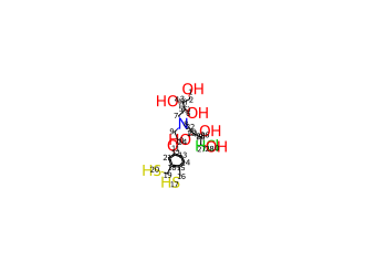 Cl.OC[C@@H](O)[C@@H](O)CN(CCOc1ccc(CS)c(CS)c1)C[C@H](O)[C@H](O)CO